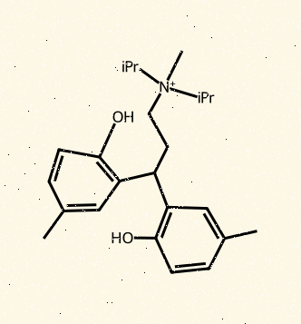 Cc1ccc(O)c(C(CC[N+](C)(C(C)C)C(C)C)c2cc(C)ccc2O)c1